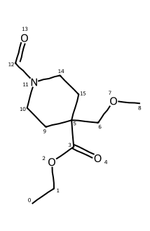 CCOC(=O)C1(COC)CCN(C=O)CC1